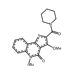 CCCCn1c(=O)c2c(OC)c(C(=O)N3CCCCC3)sc2c2ccccc21